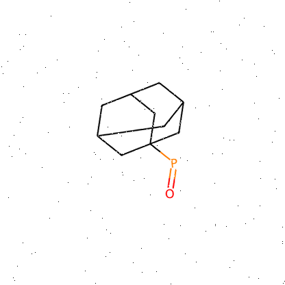 O=PC12CC3CC(CC(C3)C1)C2